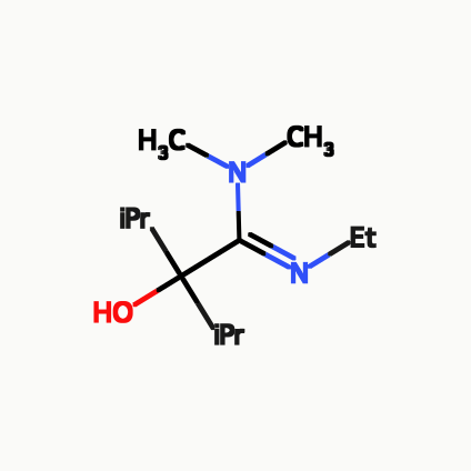 CCN=C(N(C)C)C(O)(C(C)C)C(C)C